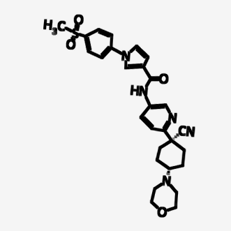 CS(=O)(=O)c1ccc(-n2ccc(C(=O)Nc3ccc([C@]4(C#N)CC[C@@H](N5CCOCC5)CC4)nc3)c2)cc1